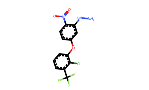 NNc1cc(Oc2cccc(C(F)(F)F)c2Cl)ccc1[N+](=O)[O-]